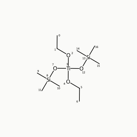 CC[O][Ti]([O]CC)([O][Si](C)(C)C)[O][Si](C)(C)C